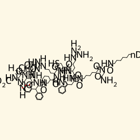 CCCCCCCCCCCCCCCCNC(=O)CN(CC(N)=O)C(=O)CCCCCNC(=O)C(Cc1c[nH]c2ccccc12)NC(=O)C(CCCNC(N)N)NC(=O)C(CS)NC(=O)C(CCCNC(=N)N)NC(=O)C1CCCN(C(=O)C(NC(=O)C(Cc2c[nH]cn2)NC(=O)C(NC(=O)CNCC(=O)O)C(C)O)C(c2ccccc2)c2ccccc2)C1